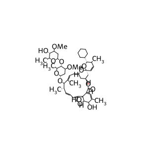 CO[C@H]1CC(O[C@H]2[C@H](C)O[C@@H](OC3/C(C)=C/C[C@@H]4C[C@@H](C[C@]5(C=C[C@H](C)[C@@H](C6CCCCC6)O5)O4)OC(=O)[C@@H]4C=C(C)[C@@H](O)[C@H]5OC/C(=C\C=C\[C@@H]3C)C54O)C[C@@H]2OC)O[C@@H](C)[C@@H]1O